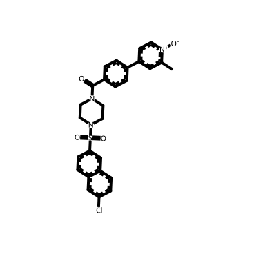 Cc1cc(-c2ccc(C(=O)N3CCN(S(=O)(=O)c4ccc5cc(Cl)ccc5c4)CC3)cc2)cc[n+]1[O-]